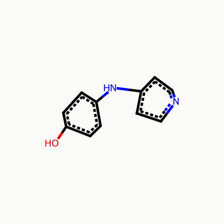 Oc1ccc(Nc2ccncc2)cc1